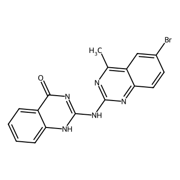 Cc1nc(Nc2nc(=O)c3ccccc3[nH]2)nc2ccc(Br)cc12